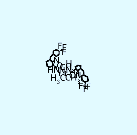 CCC(NC(=O)c1cccc2cc3ccc(C(F)(F)F)cc3nc12)N(C)C(CC)NC(=O)c1cccc2cc3ccc(C(F)(F)F)cc3nc12